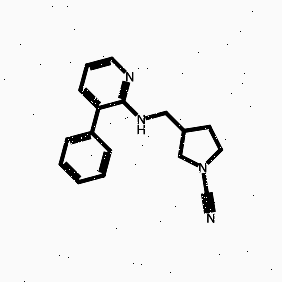 N#CN1CCC(CNc2ncccc2-c2ccccc2)C1